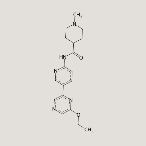 CCOc1cncc(-c2ccc(NC(=O)C3CCN(C)CC3)nc2)n1